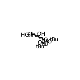 CC(C)(C)OC(=O)ON(CCC(O)CCC(C)(C)[Si](C)(C)O)C(=O)OC(C)(C)C